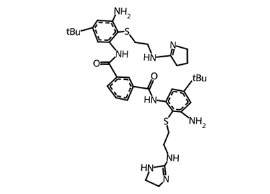 CC(C)(C)c1cc(N)c(SCCNC2=NCCC2)c(NC(=O)c2cccc(C(=O)Nc3cc(C(C)(C)C)cc(N)c3SCCNC3=NCCN3)c2)c1